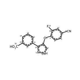 N#Cc1ccc(Oc2c[nH]nc2-c2cccc(C(=O)O)c2)c(F)c1